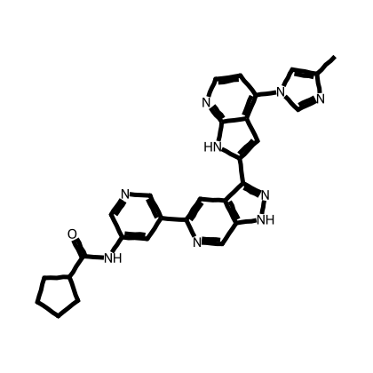 Cc1cn(-c2ccnc3[nH]c(-c4n[nH]c5cnc(-c6cncc(NC(=O)C7CCCC7)c6)cc45)cc23)cn1